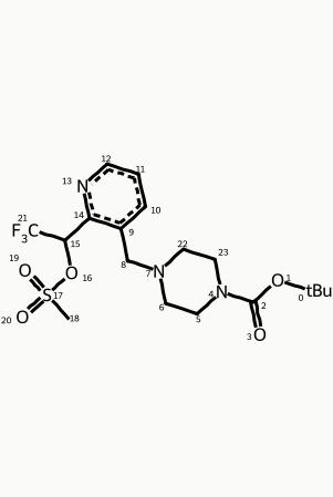 CC(C)(C)OC(=O)N1CCN(Cc2cccnc2C(OS(C)(=O)=O)C(F)(F)F)CC1